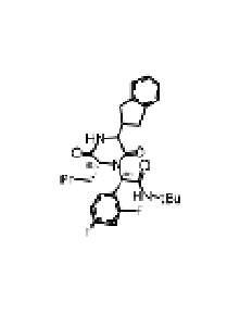 CC(C)C[C@@H]1C(=O)NC(C2Cc3ccccc3C2)C(=O)N1[C@@H](C(=O)NC(C)(C)C)c1ccc(F)cc1F